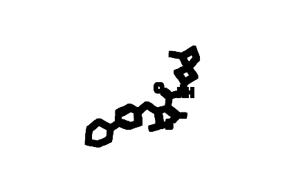 Cc1sc(C)c(C(=O)NC2CC3(CCC3C)C2)c1Cc1ccc(C2CCCCC2)cc1